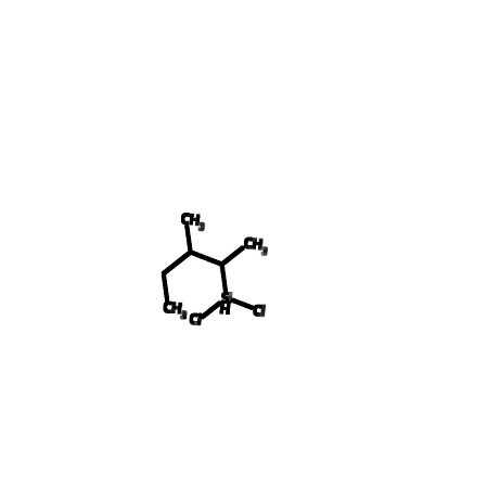 CCC(C)C(C)[SiH](Cl)Cl